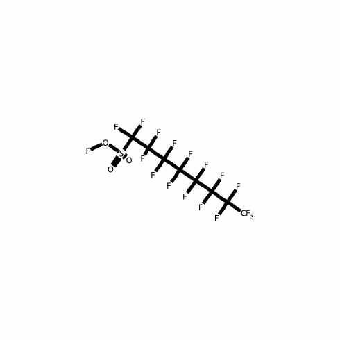 O=S(=O)(OF)C(F)(F)C(F)(F)C(F)(F)C(F)(F)C(F)(F)C(F)(F)C(F)(F)C(F)(F)F